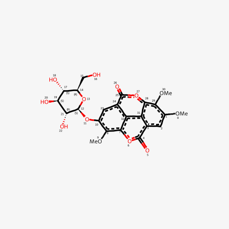 COc1cc2c(=O)oc3c(OC)c(O[C@@H]4O[C@H](CO)[C@@H](O)[C@H](O)[C@H]4O)cc4c(=O)oc(c1OC)c2c34